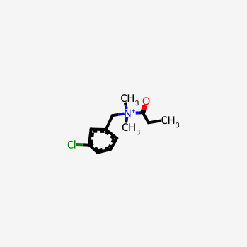 CCC(=O)[N+](C)(C)Cc1cccc(Cl)c1